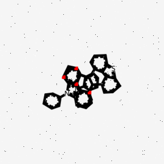 c1ccc(-n2c3cccc4c3c3c(cccc32)C23c5cccc6sc7cccc(c7c56)C42c2cccc4c2c2c3cccc2n4-c2ccccc2)cc1